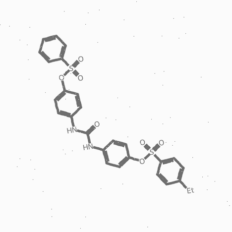 CCc1ccc(S(=O)(=O)Oc2ccc(NC(=O)Nc3ccc(OS(=O)(=O)c4ccccc4)cc3)cc2)cc1